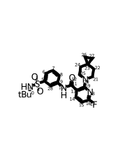 CC(C)(C)NS(=O)(=O)c1cccc(NC(=O)c2ccc(F)nc2N2CCC3(CC2)CC3)c1